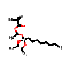 C=C(C)C(=O)OC(C)O[Si](CCCCCCCC)(OCC)OCC